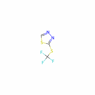 FC(F)(F)Sc1nncs1